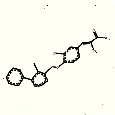 Cc1c(COc2ccc(/C=C(\C#N)C(N)=O)cc2Cl)cccc1-c1ccccc1